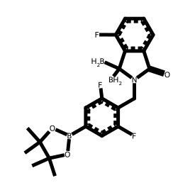 BC1(B)c2c(F)cccc2C(=O)N1Cc1c(F)cc(B2OC(C)(C)C(C)(C)O2)cc1F